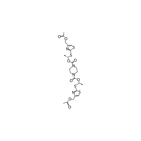 CC(=O)OCc1csc(S[C@H](C)OC(=O)N2CCN(C(=O)O[C@@H](C)Sc3nc(COC(C)=O)cs3)CC2)n1